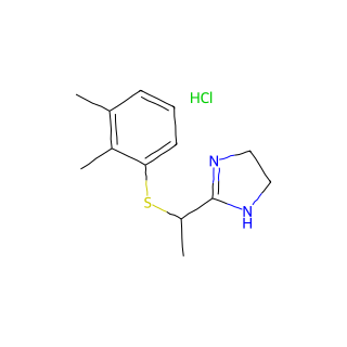 Cc1cccc(SC(C)C2=NCCN2)c1C.Cl